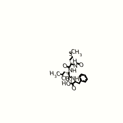 CSCC[C@H](NC=O)C(=O)N[C@@H](CC(C)C)C(=O)NC(Cc1ccccc1)C(=O)O